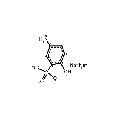 Nc1ccc(O)c(P(=O)([O-])[O-])c1.[Na+].[Na+]